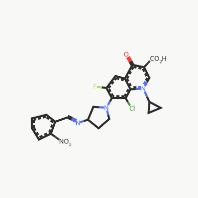 O=C(O)c1cn(C2CC2)c2c(Cl)c(N3CCC(N=Cc4ccccc4[N+](=O)[O-])C3)c(F)cc2c1=O